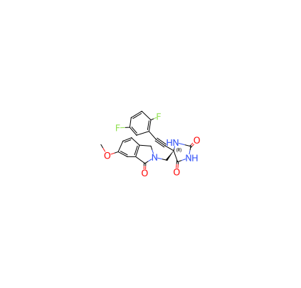 COc1ccc2c(c1)C(=O)N(C[C@@]1(C#Cc3cc(F)ccc3F)NC(=O)NC1=O)C2